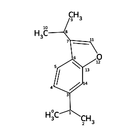 CC(C)c1ccc2c(C(C)C)coc2c1